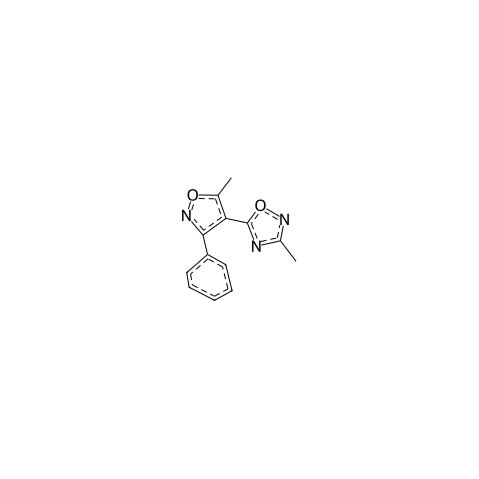 Cc1noc(-c2c(-c3ccccc3)noc2C)n1